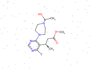 COC(=O)C[C@@H](C)c1c(I)ncnc1N1CCN(B(C)O)CC1